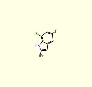 CC(C)c1cc2cc(F)cc(F)c2[nH]1